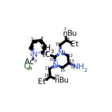 CC(=O)[n+]1ccccc1.CCCCC(CC)CN1CC(N)CN(CC(CC)CCCC)C1C.[Cl-]